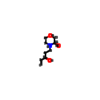 C=CC(=O)CCN1CCOCC1=O